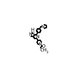 C=CC(=O)N1CCC(c2cc3cn[nH]c3c(-c3ccc(CN4CCCC4)cc3)n2)CC1